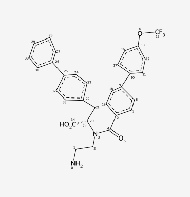 NCCN(C(=O)c1ccc(-c2ccc(OC(F)(F)F)cc2)cc1)[C@@H](Cc1ccc(-c2ccccc2)cc1)C(=O)O